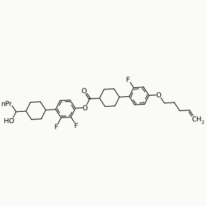 C=CCCCOc1ccc(C2CCC(C(=O)Oc3ccc(C4CCC(C(O)CCC)CC4)c(F)c3F)CC2)c(F)c1